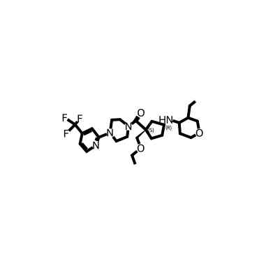 CCOC[C@]1(C(=O)N2CCN(c3cc(C(F)(F)F)ccn3)CC2)CC[C@@H](NC2CCOCC2CC)C1